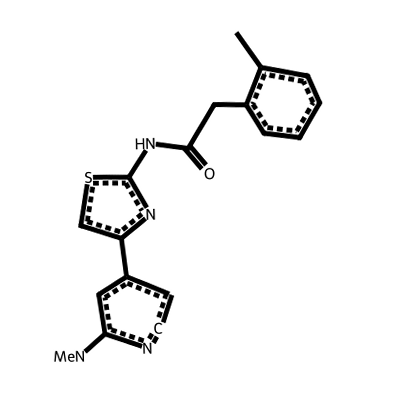 CNc1cc(-c2csc(NC(=O)Cc3ccccc3C)n2)ccn1